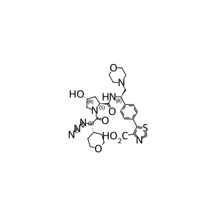 [N-]=[N+]=N[C@H](C(=O)N1C[C@H](O)C[C@H]1C(=O)N[C@@H](CN1CCOCC1)c1ccc(-c2scnc2C(=O)O)cc1)C1CCOCC1